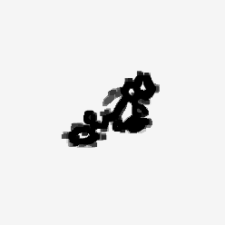 CC(=O)OC1c2ccccc2CCC1CCCC(=O)N1CCSCC1